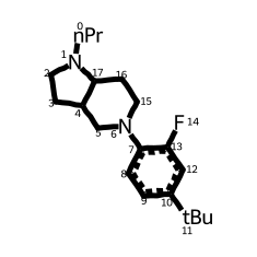 CCCN1CCC2CN(c3ccc(C(C)(C)C)cc3F)CCC21